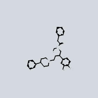 O=C(Cc1ccccc1)N(CO)CC(CCN1CCC(c2ccccc2)CC1)c1ccc(Cl)c(Cl)c1